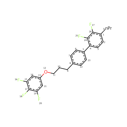 CCCc1ccc(-c2ccc(CCCOc3cc(F)c(F)c(F)c3)cc2)c(F)c1F